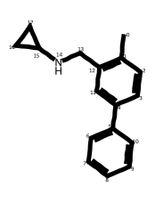 Cc1ccc(-c2ccccc2)cc1CNC1CC1